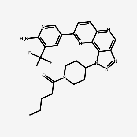 CCCCC(=O)N1CCC(n2nnc3cnc4ccc(-c5cnc(N)c(C(F)(F)F)c5)nc4c32)CC1